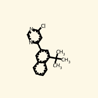 CC(C)(C)c1cc(-c2cc(Cl)ncn2)cc2ccccc12